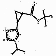 CC(C)n1cc(C2CC2C(=O)OC(C)(C)C)nn1